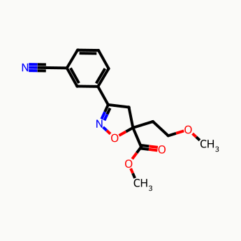 COCCC1(C(=O)OC)CC(c2cccc(C#N)c2)=NO1